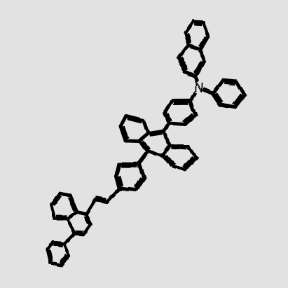 C(=C\c1ccc(-c2ccccc2)c2ccccc12)/c1ccc(-c2c3ccccc3c(-c3ccc(N(c4ccccc4)c4ccc5ccccc5c4)cc3)c3ccccc23)cc1